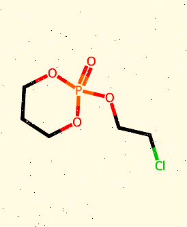 O=P1(OCCCl)OCCCO1